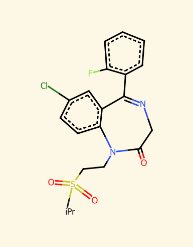 CC(C)S(=O)(=O)CCN1C(=O)CN=C(c2ccccc2F)c2cc(Cl)ccc21